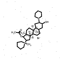 CC(=O)OC1C([N+]2(C)CCCCC2)C[C@H]2[C@@H]3CCC4CC(O)C(N5CCCCC5)C[C@]4(C)[C@@H]3CC[C@]12C.[Br-]